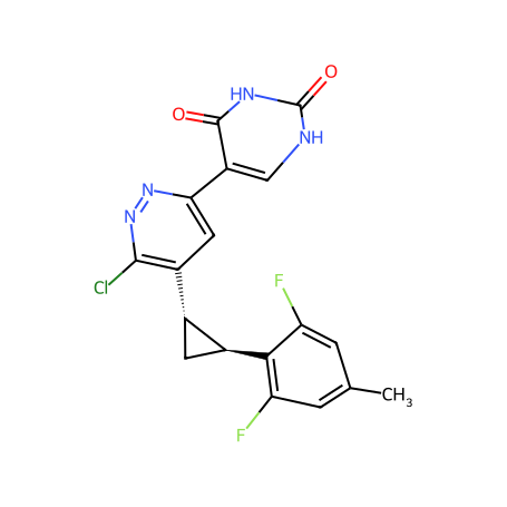 Cc1cc(F)c([C@H]2C[C@@H]2c2cc(-c3c[nH]c(=O)[nH]c3=O)nnc2Cl)c(F)c1